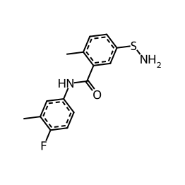 Cc1cc(NC(=O)c2cc(SN)ccc2C)ccc1F